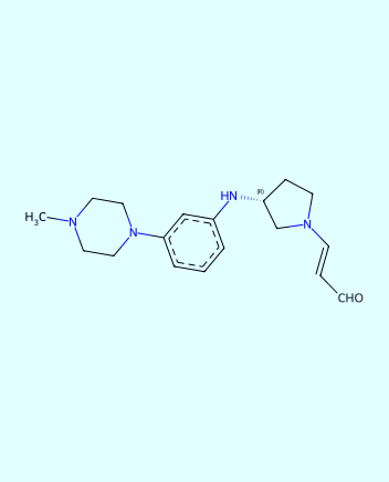 CN1CCN(c2cccc(N[C@@H]3CCN(C=CC=O)C3)c2)CC1